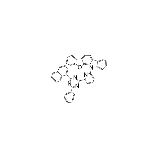 c1ccc(-c2nc(-c3cccc(-n4c5ccccc5c5ccc6c7ccccc7oc6c54)n3)nc(-c3cccc4ccccc34)n2)cc1